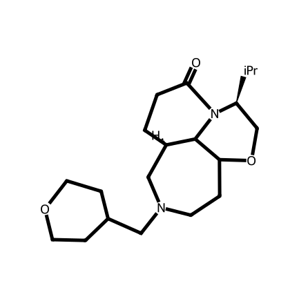 CC(C)[C@H]1COC2CCN(CC3CCOCC3)C[C@H]3CCC(=O)N1C23